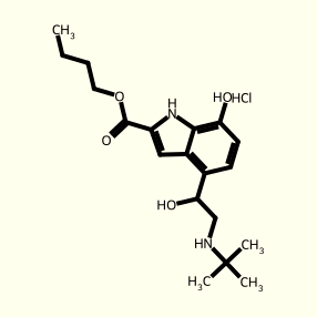 CCCCOC(=O)c1cc2c(C(O)CNC(C)(C)C)ccc(O)c2[nH]1.Cl